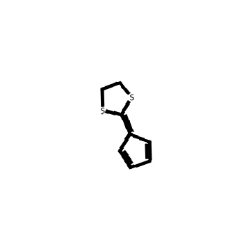 C1=CC(=C2SCCS2)C=C1